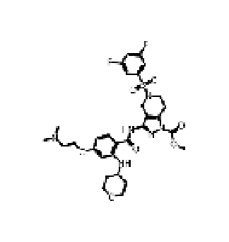 COC(=O)n1nc(NC(=O)c2ccc(OCCN(C)C)cc2NC2CCOCC2)c2c1CCN(S(=O)(=O)c1cc(F)cc(F)c1)C2